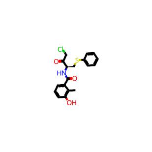 Cc1c(O)cccc1C(=O)N[C@H](CSc1ccccc1)C(=O)CCl